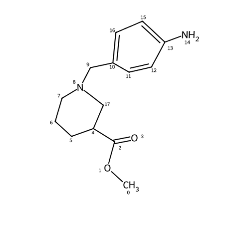 COC(=O)C1CCCN(Cc2ccc(N)cc2)C1